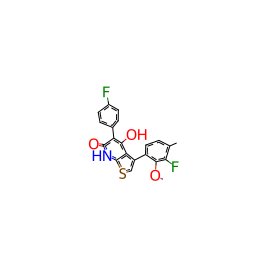 COc1c(-c2csc3[nH]c(=O)c(-c4ccc(F)cc4)c(O)c23)ccc(C)c1F